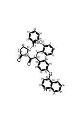 COc1ccccc1C[C@H](C(=O)N1C(=O)OC[C@@H]1Cc1ccccc1)c1ccc(Oc2ccnc3ccccc23)cc1